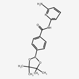 CC1(C)OB(c2ccc(C(=O)Nc3cccc(N)n3)cc2)OC1(C)C